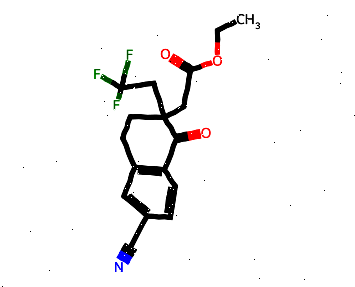 CCOC(=O)CC1(CC(F)(F)F)CCc2cc(C#N)ccc2C1=O